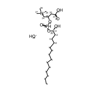 CCCCCCCCCCCCC[C@H](O)O[PH](=O)OC(CC(=O)O)C[N+](C)(C)C.[OH-]